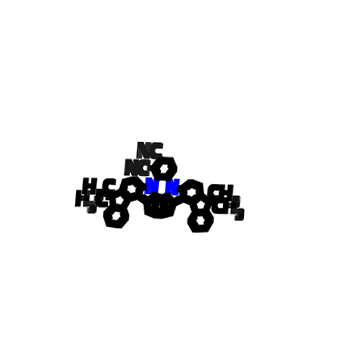 CC1(C)c2ccccc2-c2c1ccc1c2c2ccccc2n1-c1ccc(C#N)c(C#N)c1-n1c2ccccc2c2c3c(ccc21)C(C)(C)c1ccccc1-3